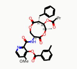 COc1ccnc(C(=O)N[C@H]2COC(=O)[C@H](Cc3ccccc3)[C@@H](OC(=O)C(C)C)[C@H](C)OC2=O)c1OC(=O)c1cccc(C)c1